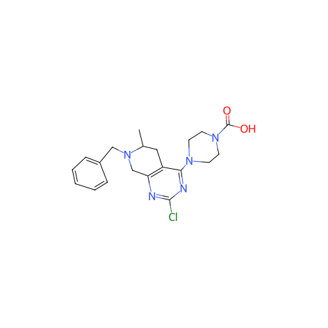 CC1Cc2c(nc(Cl)nc2N2CCN(C(=O)O)CC2)CN1Cc1ccccc1